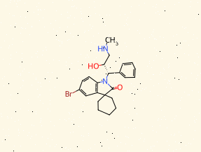 CNCC(O)[C@H](c1ccccc1)N1C(=O)C2(CCCCC2)c2cc(Br)ccc21